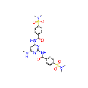 CNc1cc(NC(=O)c2ccc(S(=O)(=O)N(C)C)cc2)nc(NC(=O)c2ccc(S(=O)(=O)N(C)C)cc2)n1